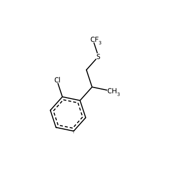 CC(CSC(F)(F)F)c1c[c]ccc1Cl